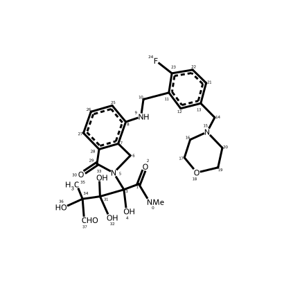 CNC(=O)C(O)(N1Cc2c(NCc3cc(CN4CCOCC4)ccc3F)cccc2C1=O)C(O)(O)C(C)(O)C=O